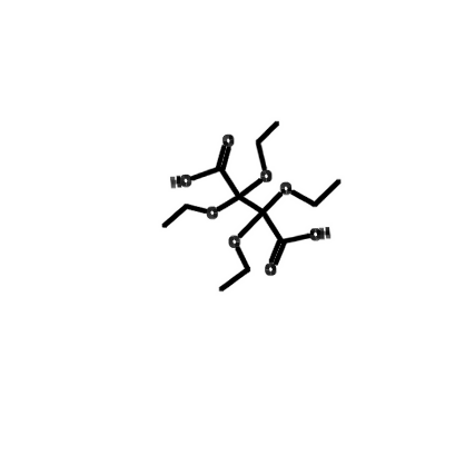 CCOC(OCC)(C(=O)O)C(OCC)(OCC)C(=O)O